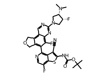 CN(C)[C@H]1CN(c2ncc3c4c(c(-c5ncc(F)c6sc(NC(=O)OC(C)(C)C)c(C#N)c56)c(F)c3n2)COC4)C[C@H]1F